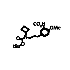 COc1ccc(CCCN(C(=O)OC(C)(C)C)C2CCC2)cc1C(=O)O